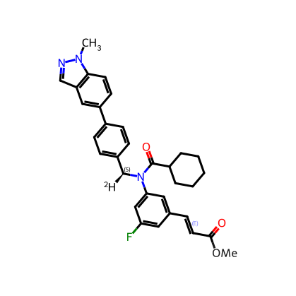 [2H][C@@H](c1ccc(-c2ccc3c(cnn3C)c2)cc1)N(C(=O)C1CCCCC1)c1cc(F)cc(/C=C/C(=O)OC)c1